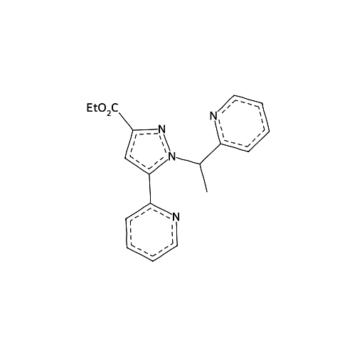 CCOC(=O)c1cc(-c2ccccn2)n(C(C)c2ccccn2)n1